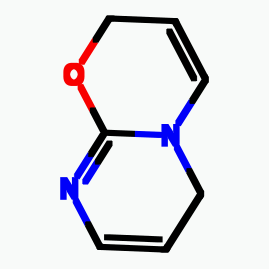 C1=CN2CC=CN=C2OC1